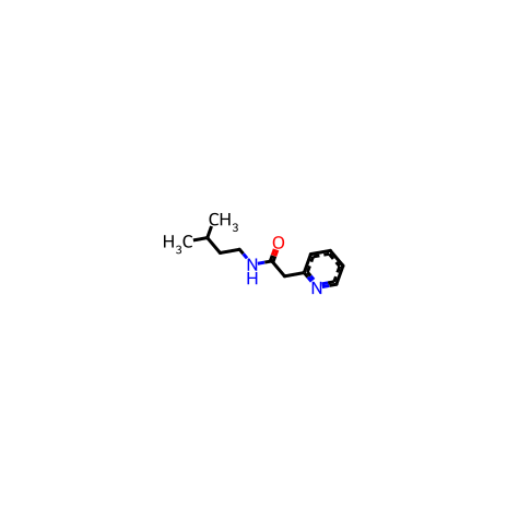 CC(C)CCNC(=O)Cc1ccccn1